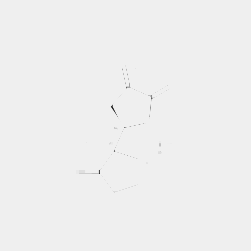 C=C1C[C@H]([C@]2(C)C(=O)CC[C@H]2[C@@H](C)CCC)OC1=O